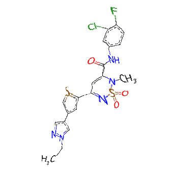 CCn1cc(-c2csc(C3=NS(=O)(=O)N(C)C(C(=O)Nc4ccc(F)c(Cl)c4)=C3)c2)cn1